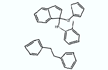 Cc1ccccc1P[C]1([Zr][C]2=CC=CC2)C=Cc2ccccc21.c1ccc(CCc2ccccc2)cc1